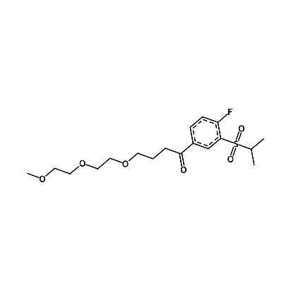 COCCOCCOCCCC(=O)c1ccc(F)c(S(=O)(=O)C(C)C)c1